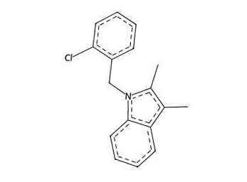 Cc1c(C)n(Cc2ccccc2Cl)c2ccccc12